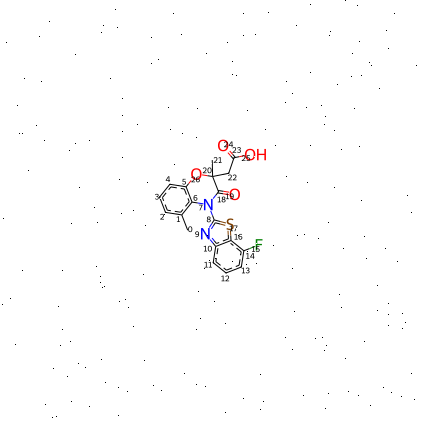 Cc1cccc2c1N(c1nc3cccc(F)c3s1)C(=O)C(C)(CC(=O)O)O2